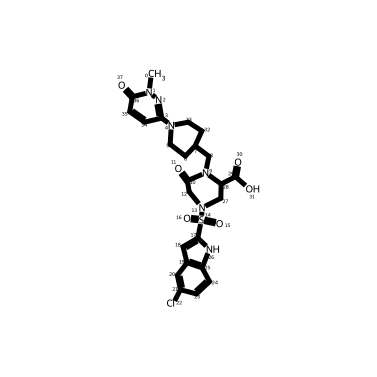 Cn1nc(N2CCC(CN3C(=O)CN(S(=O)(=O)c4cc5cc(Cl)ccc5[nH]4)CC3C(=O)O)CC2)ccc1=O